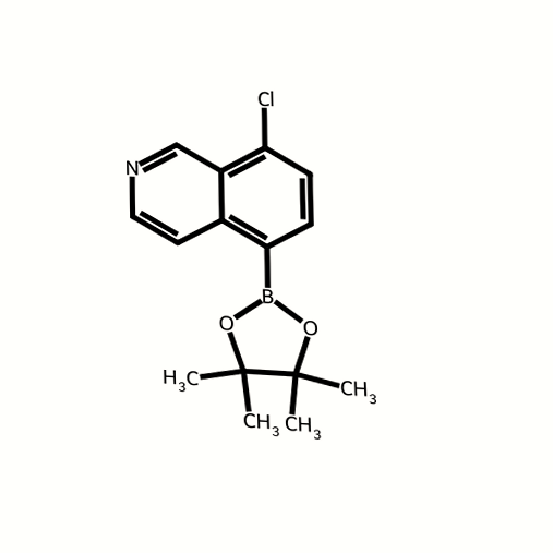 CC1(C)OB(c2ccc(Cl)c3cnccc23)OC1(C)C